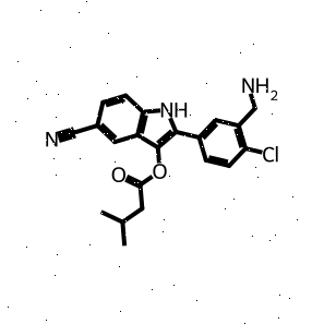 CC(C)CC(=O)Oc1c(-c2ccc(Cl)c(CN)c2)[nH]c2ccc(C#N)cc12